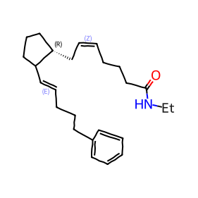 CCNC(=O)CCC/C=C\C[C@H]1CCCC1/C=C/CCCc1ccccc1